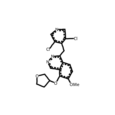 COc1ccc2c(Cc3c(Cl)cncc3Cl)nncc2c1OC1CCOC1